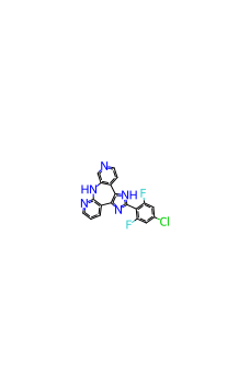 Fc1cc(Cl)cc(F)c1-c1nc2c([nH]1)-c1ccncc1Nc1ncccc1-2